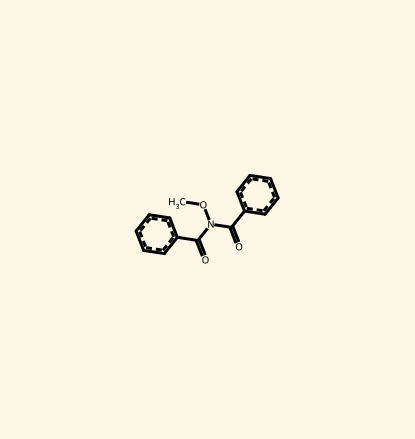 CON(C(=O)c1ccccc1)C(=O)c1ccccc1